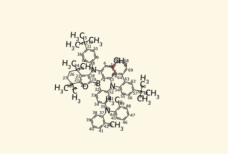 Cc1cc2c3c(c1)N(c1ccc(C(C)(C)C)cc1)c1c(oc4c1C(C)(C)CCC4(C)C)B3c1ccc(N(c3ccccc3C)c3ccccc3C)cc1N2c1ccc(C(C)(C)C)cc1-c1ccccc1